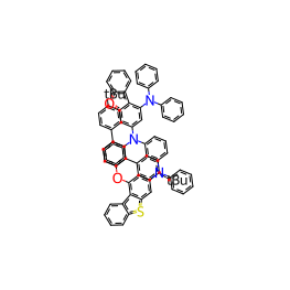 CC(C)(C)c1ccc(-c2cccc(-c3ccc(C(C)(C)C)cc3)c2N(c2cccc(N(c3ccccc3)c3cc(Oc4ccccc4)c4c(c3)sc3ccccc34)c2)c2cc(N(c3ccccc3)c3ccccc3)c3c(c2)oc2ccccc23)cc1